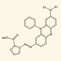 CCN(CC)c1ccc2nc3ccc(N=Nc4ccsc4C(=O)OC)cc3[n+](-c3ccccc3)c2c1